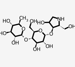 C[C@H]1O[C@H](O[C@H]2[C@H](O)[C@@H](O)[C@@H](O[C@H]3C(O)CN[C@@H]3CO)O[C@@H]2CO)[C@H](O)[C@@H](O)[C@@H]1O